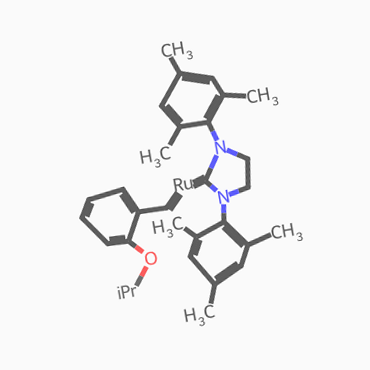 Cc1cc(C)c(N2CCN(c3c(C)cc(C)cc3C)[C]2=[Ru]=[CH]c2ccccc2OC(C)C)c(C)c1